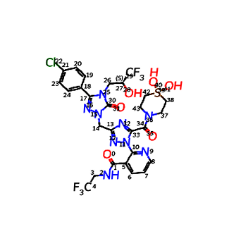 O=C(NCC(F)(F)F)c1cccnc1-n1nc(Cn2nc(-c3ccc(Cl)cc3)n(C[C@H](O)C(F)(F)F)c2=O)nc1C(=O)N1CCS(O)(O)CC1